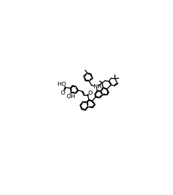 Cc1ccc(CNc2cc(-c3ccc4ccccc4c3C(=O)C=Cc3ccc(C(=O)O)c(O)c3)cc3ccc4c(c23)C(C)(C)CC2=C4C=CC(C)(C)C2)cc1